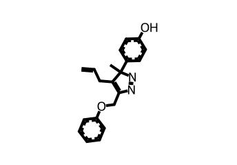 C=CCC1=C(COc2ccccc2)N=NC1(C)c1ccc(O)cc1